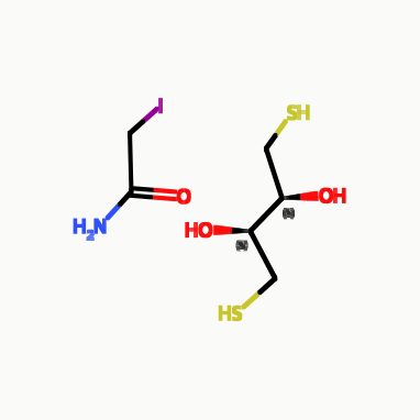 NC(=O)CI.O[C@H](CS)[C@H](O)CS